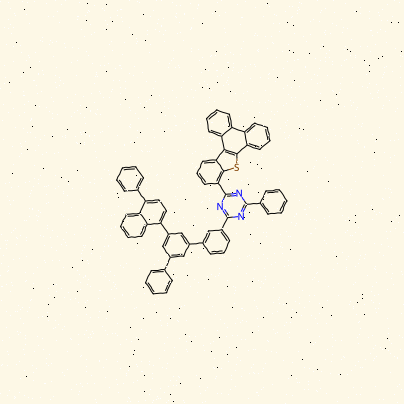 c1ccc(-c2cc(-c3cccc(-c4nc(-c5ccccc5)nc(-c5cccc6c5sc5c7ccccc7c7ccccc7c65)n4)c3)cc(-c3ccc(-c4ccccc4)c4ccccc34)c2)cc1